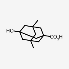 [CH2]C12CC3(C)CC(O)(C1)CC(C(=O)O)(C2)C3